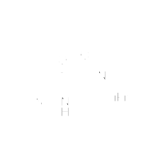 CC(C)c1cc2[nH]c3sccc3c(=O)c2c(=O)n1-c1ccccc1